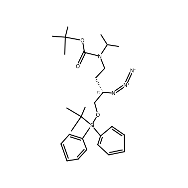 CC(C)N(CC[C@@H](CO[Si](c1ccccc1)(c1ccccc1)C(C)(C)C)N=[N+]=[N-])C(=O)OC(C)(C)C